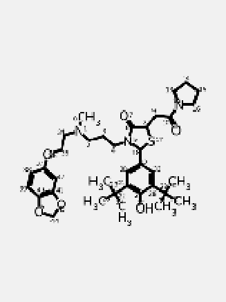 CN(CCCN1C(=O)C(CC(=O)N2CCCC2)SC1c1cc(C(C)(C)C)c(O)c(C(C)(C)C)c1)CCOc1ccc2c(c1)OCO2